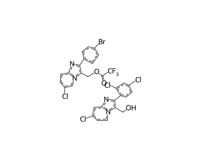 O=C(OCc1c(-c2ccc(Br)cc2)nc2ccc(Cl)cn12)C(F)(F)F.OCc1c(-c2ccc(Cl)cc2Cl)nc2cc(Cl)ccn12